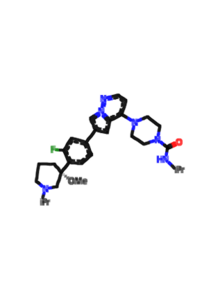 CO[C@@]1(c2ccc(-c3cc4c(N5CCN(C(=O)NC(C)C)CC5)ccnn4c3)cc2F)CCCN(C(C)C)C1